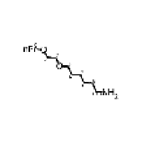 CCCOCCOCCCCCCN